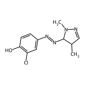 CC1C=NN(C)C1/N=N/c1ccc(O)c(Cl)c1